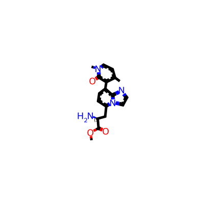 COC(=O)[C@@H](N)Cc1ccc(-c2c(C)ccn(C)c2=O)c2nccn12